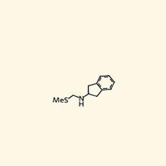 CSCNC1Cc2ccccc2C1